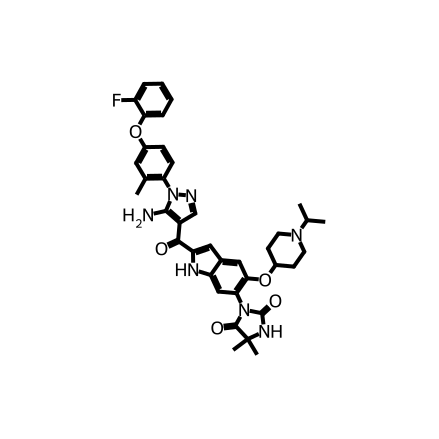 Cc1cc(Oc2ccccc2F)ccc1-n1ncc(C(=O)c2cc3cc(OC4CCN(C(C)C)CC4)c(N4C(=O)NC(C)(C)C4=O)cc3[nH]2)c1N